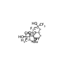 CC(C)CC(CC(O)(C(F)(F)F)C(F)(F)F)OC(=O)C(C)(CC(C)(C)C)C(C)(C)O